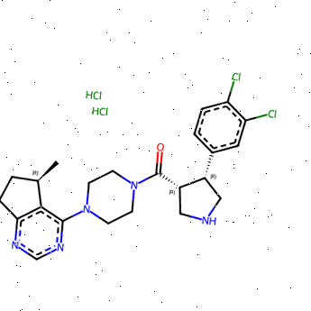 C[C@@H]1CCc2ncnc(N3CCN(C(=O)[C@H]4CNC[C@H]4c4ccc(Cl)c(Cl)c4)CC3)c21.Cl.Cl